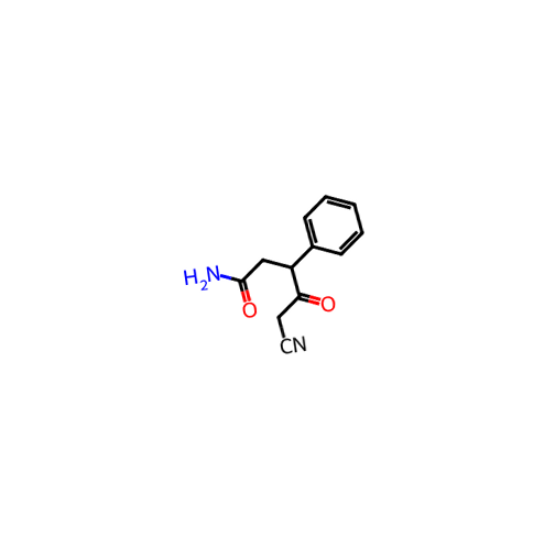 N#CCC(=O)C(CC(N)=O)c1ccccc1